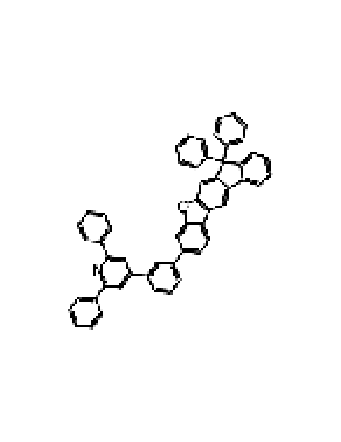 c1ccc(-c2cc(-c3cccc(-c4ccc5c(c4)oc4cc6c(cc45)-c4ccccc4C6(c4ccccc4)c4ccccc4)c3)cc(-c3ccccc3)n2)cc1